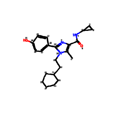 Cc1c(C(=O)NC2CC2)nc(-c2ccc(O)cc2)n1CCC1CCCCC1